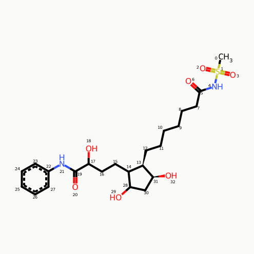 CS(=O)(=O)NC(=O)CCCCCC[C@@H]1C(CCC(O)C(=O)Nc2ccccc2)C(O)C[C@@H]1O